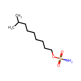 CC(C)CCCCCCCOS(N)(=O)=O